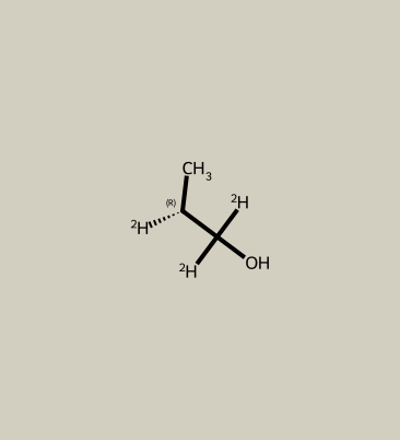 [2H][C@H](C)C([2H])([2H])O